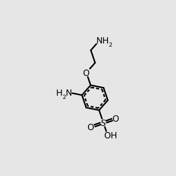 NCCOc1ccc(S(=O)(=O)O)cc1N